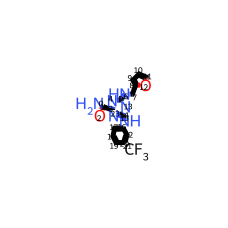 NC(=O)c1nc(NCc2ccco2)nc(Nc2cccc(C(F)(F)F)c2)n1